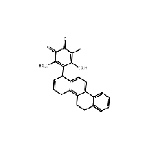 CC1=C(C(=O)O)C(C2C=CCc3c2ccc2c3CCc3ccccc3-2)=C(C(=O)O)C(=O)C1=O